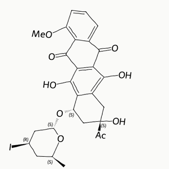 COc1cccc2c1C(=O)c1c(O)c3c(c(O)c1C2=O)C[C@@](O)(C(C)=O)C[C@@H]3O[C@H]1C[C@H](I)C[C@H](C)O1